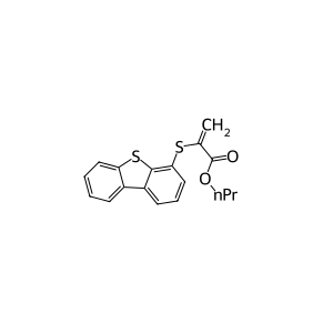 C=C(Sc1cccc2c1sc1ccccc12)C(=O)OCCC